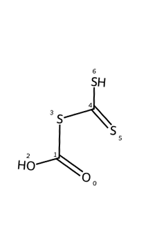 O=C(O)SC(=S)S